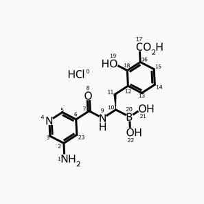 Cl.Nc1cncc(C(=O)N[C@@H](Cc2cccc(C(=O)O)c2O)B(O)O)c1